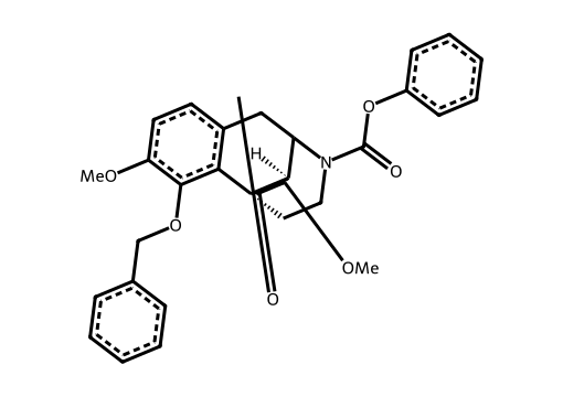 COc1ccc2c(c1OCc1ccccc1)[C@@]13CCN(C(=O)Oc4ccccc4)C(C2)[C@H]1CC(OC)C(=O)C3